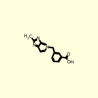 Cc1nc2ccn(Cc3cccc(C(=O)O)c3)cc-2n1